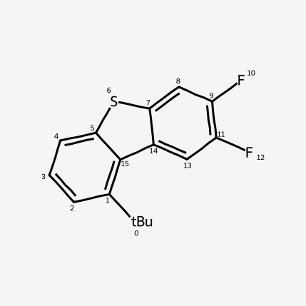 CC(C)(C)c1cccc2sc3cc(F)c(F)cc3c12